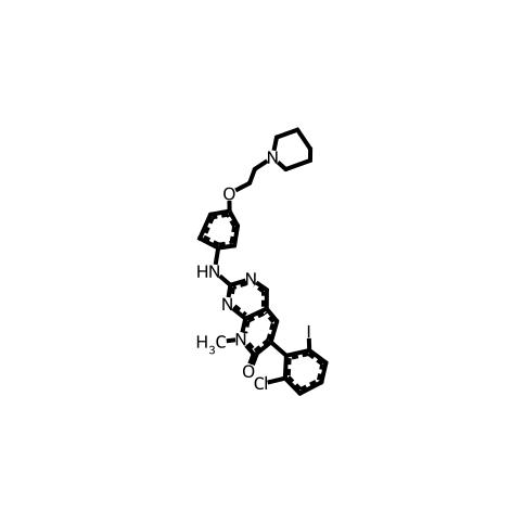 Cn1c(=O)c(-c2c(Cl)cccc2I)cc2cnc(Nc3ccc(OCCN4CCCCC4)cc3)nc21